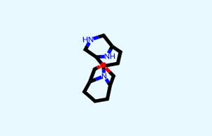 C1CC2COCC(C1)N2C1CCC2CNCC1N2